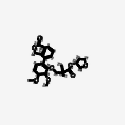 COc1ccc(-c2cccc3c2COC3=O)c(OCC(C)(C)C(=O)O[C@@H]2CCOC2)c1OC